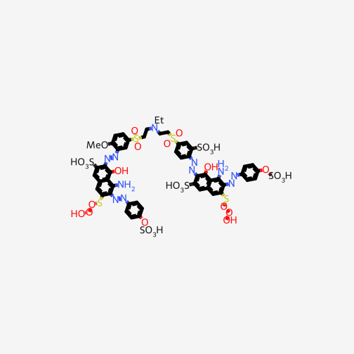 CCN(CCS(=O)(=O)c1ccc(OC)c(N=Nc2c(S(=O)(=O)O)cc3cc(SOOO)c(N=Nc4ccc(OS(=O)(=O)O)cc4)c(N)c3c2O)c1)CCS(=O)(=O)c1ccc(N=Nc2c(S(=O)(=O)O)cc3cc(SOOO)c(N=Nc4ccc(OS(=O)(=O)O)cc4)c(N)c3c2O)c(S(=O)(=O)O)c1